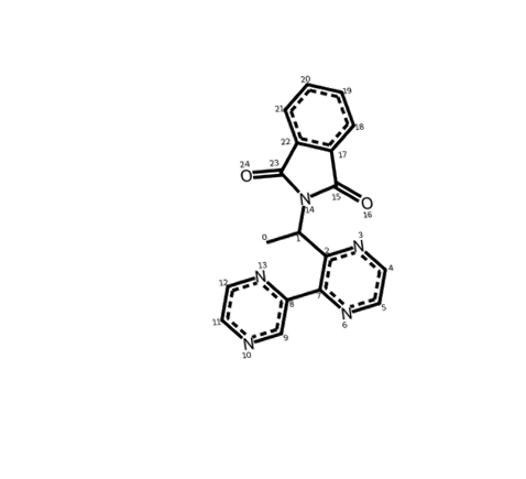 CC(c1nccnc1-c1cnccn1)N1C(=O)c2ccccc2C1=O